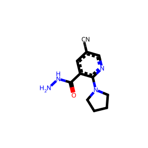 N#Cc1cnc(N2CCCC2)c(C(=O)NN)c1